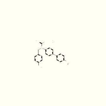 CC(C)(C)c1ccc(CN(C(=O)C(=O)O)c2ccc(-c3ccc(OC(F)(F)F)cc3)cc2)cc1.[NaH]